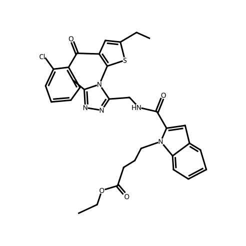 CCOC(=O)CCCn1c(C(=O)NCc2nnc(C)n2-c2sc(CC)cc2C(=O)c2ccccc2Cl)cc2ccccc21